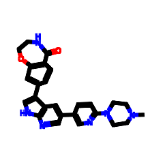 CN1CCN(c2ccc(-c3cnc4[nH]cc(-c5ccc6c(c5)OCCNC6=O)c4c3)cn2)CC1